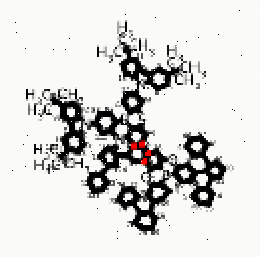 CC(C)(C)c1ccc2c(c1)c1cc(C(C)(C)C)ccc1n2-c1ccc2c(c1)Sc1cc(-c3cc4c5c(c3)Oc3cc(-c6c(-c7ccccc7)cccc6-c6ccccc6)ccc3B5c3ccc(-c5ccccc5-c5ccccc5)cc3O4)cc3c1B2c1ccc(-n2c4ccc(C(C)(C)C)cc4c4cc(C(C)(C)C)ccc42)cc1N3c1ccc(-c2ccccc2)cc1-c1ccccc1